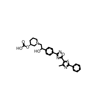 Cc1nc(-c2ccccc2)sc1-c1nc(-c2ccc(C(O)CN3CCC[C@H](OC(=O)O)C3)cc2)no1